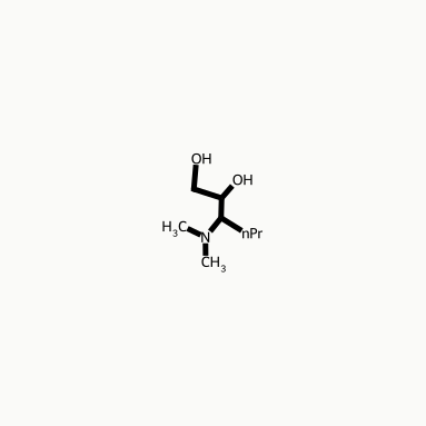 CCCC(C(O)CO)N(C)C